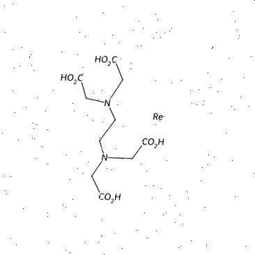 O=C(O)CN(CCN(CC(=O)O)CC(=O)O)CC(=O)O.[Re]